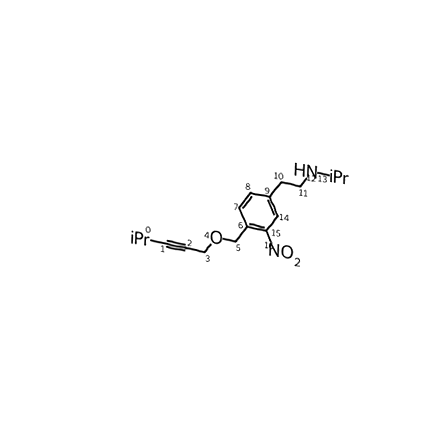 CC(C)C#CCOCc1ccc(CCNC(C)C)cc1[N+](=O)[O-]